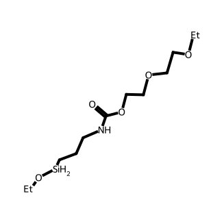 CCOCCOCCOC(=O)NCCC[SiH2]OCC